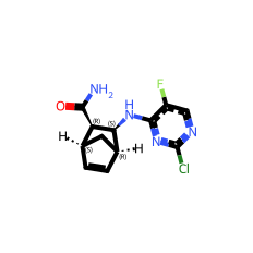 NC(=O)[C@H]1[C@@H](Nc2nc(Cl)ncc2F)[C@H]2C=C[C@@H]1C2